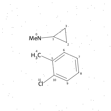 CNC1CC1.Cc1ccccc1Cl